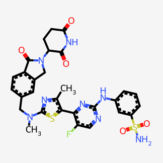 Cc1nc(N(C)Cc2ccc3c(c2)CN(C2CCC(=O)NC2=O)C3=O)sc1-c1nc(Nc2cccc(S(N)(=O)=O)c2)ncc1F